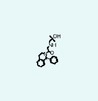 CC(C)(O)CNCC(=O)N1CCc2ccccc2[C@@H]1c1ccccc1